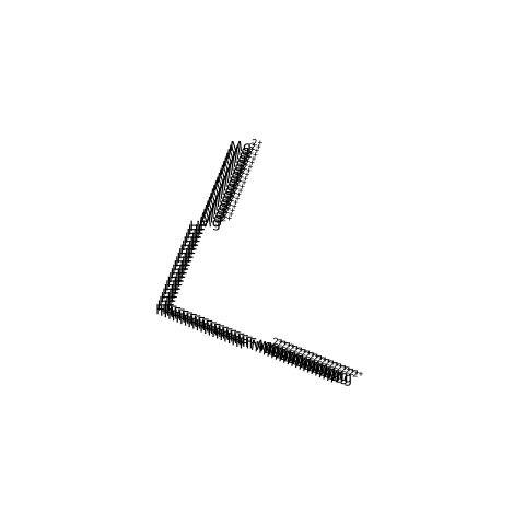 F.F.F.F.F.F.F.F.F.F.F.F.F.F.F.F.F.F.F.F.F.F.F.F.F.F.F.F.F.F.F.F.F.F.F.F.F.F.F.F.F.F.F.[Mg+2].[Mg+2].[Mg+2].[Mg+2].[Mg+2].[Mg+2].[Mg+2].[Mg+2].[Mg+2].[Mg+2].[Mg+2].[Mg+2].[Mg+2].[Mg+2].[Mg+2].[Mg+2].[Mg+2].[Mg+2].[Mg+2].[Mg+2].[Mg+2].[Mg+2].[Mg+2].[Mg+2].[Mg+2].[Mg+2].[Mg+2].[Mg+2].[Mg+2].[Mg+2].[Mg+2].[Mg+2].[Mg+2].[Mg+2].[Mg+2].[Mg+2].[Mg+2].[Mg+2].[Mg+2].[Mg+2].[Mg+2]